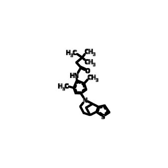 Cc1cc(N2CCC3CC2c2ccsc23)cc(C)c1NC(=O)CC(C)(C)C